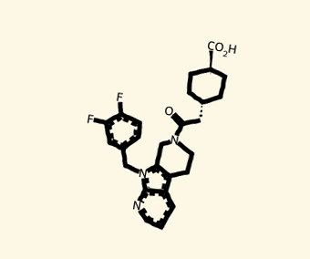 O=C(C[C@H]1CC[C@H](C(=O)O)CC1)N1CCc2c(n(Cc3ccc(F)c(F)c3)c3ncccc23)C1